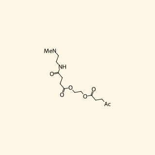 CNCCNC(=O)CCC(=O)OCCOC(=O)CCC(C)=O